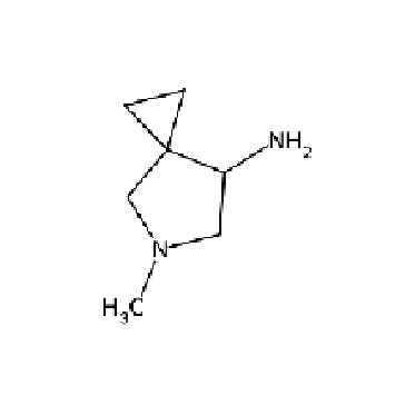 CN1CC(N)C2(CC2)C1